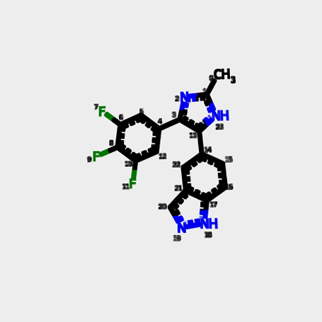 Cc1nc(-c2cc(F)c(F)c(F)c2)c(-c2ccc3[nH]ncc3c2)[nH]1